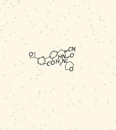 N#C[C@H](Cc1ccc2c(c1)OCc1ccc(C3COC3)cc1-2)NC(=O)C1(N)CCOCC1